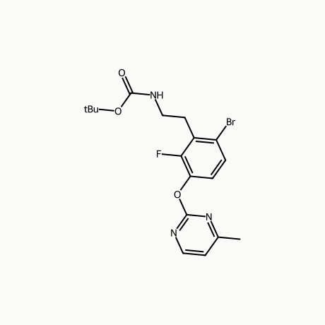 Cc1ccnc(Oc2ccc(Br)c(CCNC(=O)OC(C)(C)C)c2F)n1